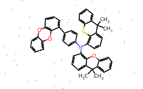 CC1(C)c2ccccc2Oc2c(N(c3ccc(-c4cccc5c4Oc4ccccc4O5)cc3)c3cccc4c3Sc3ccccc3C4(C)C)cccc21